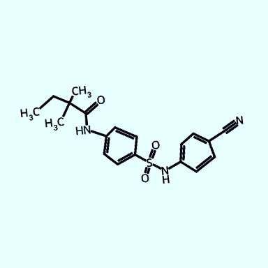 CCC(C)(C)C(=O)Nc1ccc(S(=O)(=O)Nc2ccc(C#N)cc2)cc1